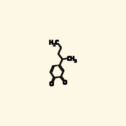 CCCC(C)C1=CC(=O)C(=O)C=C1